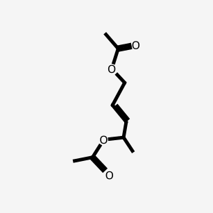 CC(=O)OCC=CC(C)OC(C)=O